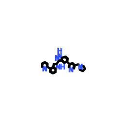 c1ccc(-c2cccc3[nH]c(-c4n[nH]c5ccc(-c6cncc(CN7CCCC7)c6)cc45)cc23)nc1